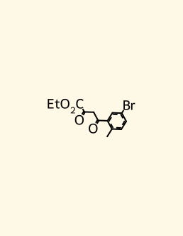 CCOC(=O)C(=O)CC(=O)c1cc(Br)ccc1C